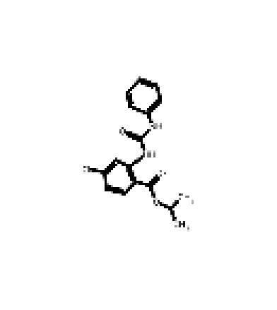 CC(C)OC(=O)c1ccc(Cl)cc1NC(=O)Nc1ccccc1